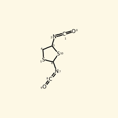 O=C=NC1CSC(N=C=O)S1